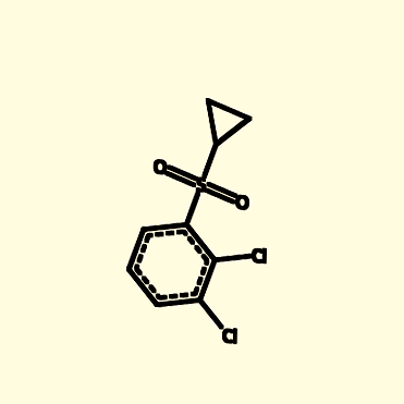 O=S(=O)(c1cccc(Cl)c1Cl)C1CC1